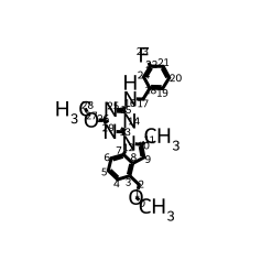 COCc1cccc2c1cc(C)n2-c1nc(NCc2cccc(F)c2)nc(OC)n1